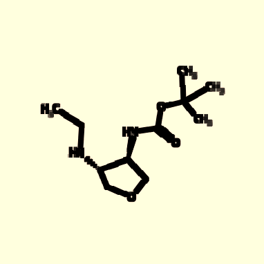 CCN[C@H]1COC[C@@H]1NC(=O)OC(C)(C)C